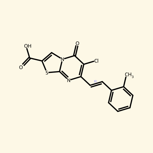 Cc1ccccc1/C=C/c1nc2sc(C(=O)O)cn2c(=O)c1Cl